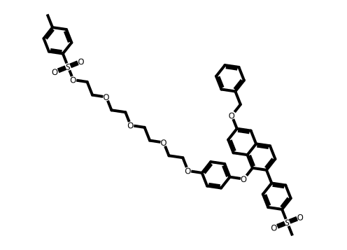 Cc1ccc(S(=O)(=O)OCCOCCOCCOCCOc2ccc(Oc3c(-c4ccc(S(C)(=O)=O)cc4)ccc4cc(OCc5ccccc5)ccc34)cc2)cc1